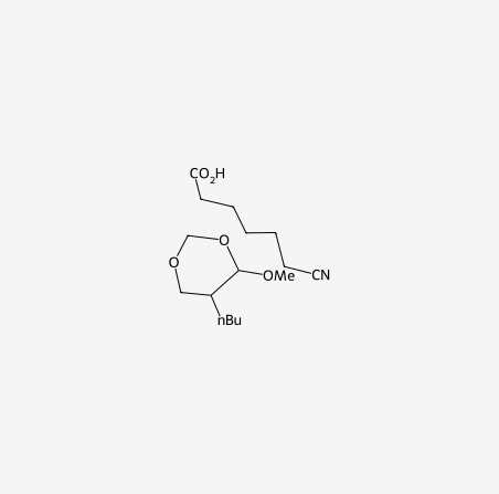 CCCCC1COCOC1OC.N#CCCCCCC(=O)O